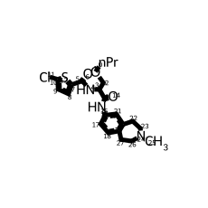 CCCOCC(NC(=O)c1ccc(Cl)s1)C(=O)Nc1ccc2c(c1)CCN(C)CC2